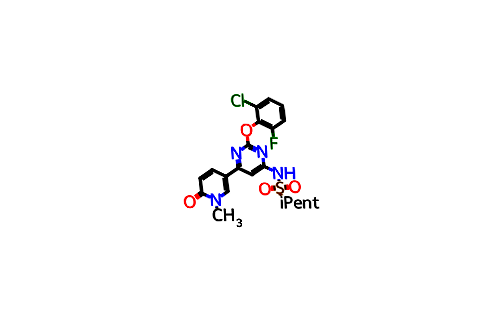 CCC[C@H](C)S(=O)(=O)Nc1cc(-c2ccc(=O)n(C)c2)nc(Oc2c(F)cccc2Cl)n1